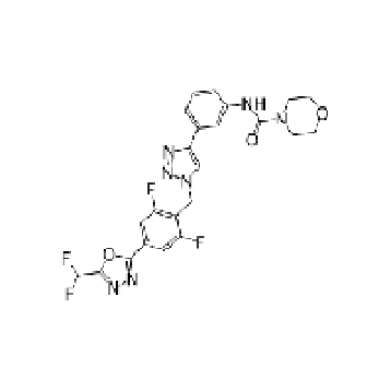 O=C(Nc1cccc(-c2cn(Cc3c(F)cc(-c4nnc(C(F)F)o4)cc3F)nn2)c1)N1CCOCC1